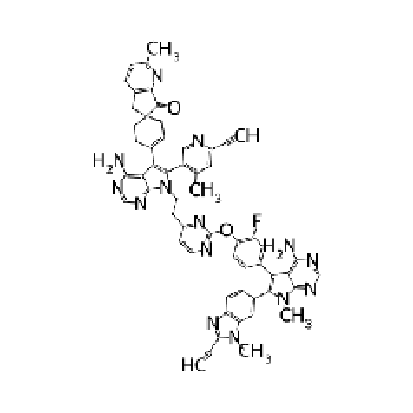 C#Cc1cc(C)c(-c2c(C3=CC[C@@]4(CC3)Cc3ccc(C)nc3C4=O)c3c(N)ncnc3n2CCc2ccnc(Oc3ccc(-c4c(-c5ccc6nc(C#C)n(C)c6c5)n(C)c5ncnc(N)c45)cc3F)n2)cn1